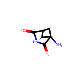 NC12CC(C1)C(=O)NC2=O